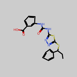 CCC(Sc1nnc(NC(=O)Nc2cccc(C(=O)O)c2)s1)c1ccccc1